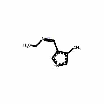 CC/N=C\c1c[nH]cc1C